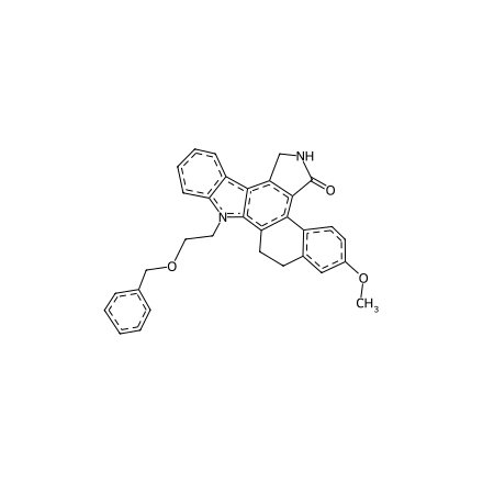 COc1ccc2c(c1)CCc1c-2c2c(c3c4ccccc4n(CCOCc4ccccc4)c13)CNC2=O